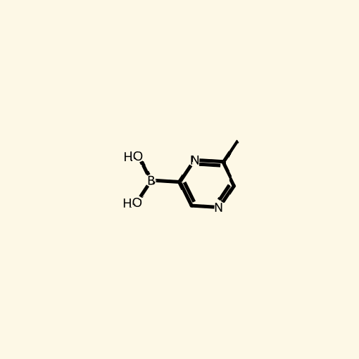 Cc1cncc(B(O)O)n1